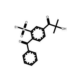 CCS(=O)(=O)c1cc(C(=O)C(C)(C)O)ccc1C(=O)c1ccccc1